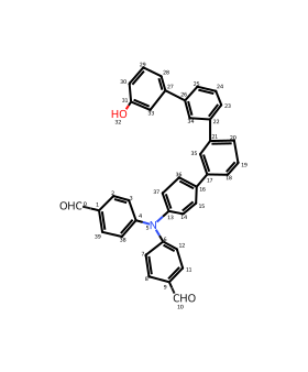 O=Cc1ccc(N(c2ccc(C=O)cc2)c2ccc(-c3cccc(-c4cccc(-c5cccc(O)c5)c4)c3)cc2)cc1